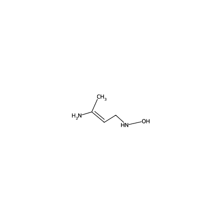 C/C(N)=C\CNO